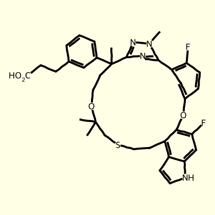 Cn1nc2nc1-c1cc(ccc1F)Oc1c(F)cc3[nH]ccc3c1CCSCC(C)(C)OCCC2(C)c1cccc(CCC(=O)O)c1